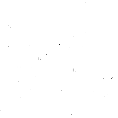 Cc1cc2c(c(C(C)Nc3ccccc3C(=O)OC(C)(C)C)c1)CN(C1CCc3cccnc3C1)C2=O